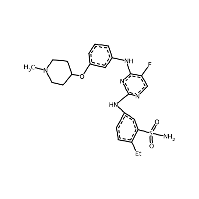 CCc1ccc(Nc2ncc(F)c(Nc3cccc(OC4CCN(C)CC4)c3)n2)cc1S(N)(=O)=O